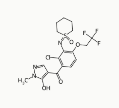 Cn1ncc(C(=O)c2ccc(OCC(F)(F)F)c(N=S3(=O)CCCCC3)c2Cl)c1O